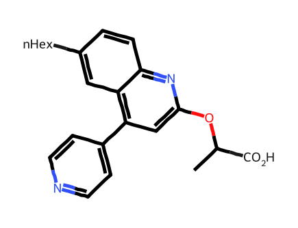 CCCCCCc1ccc2nc(OC(C)C(=O)O)cc(-c3ccncc3)c2c1